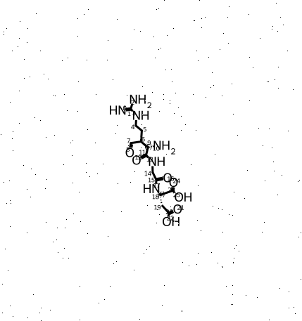 N=C(N)NCCC(C=O)[C@H](N)C(=O)NCC(=O)N[C@@H](CC(=O)O)C(=O)O